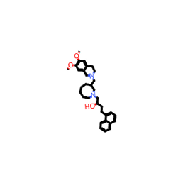 COc1cc2c(cc1OC)CN(CC1CCCCCN(CC(O)CCc3cccc4ccccc34)C1)CC2